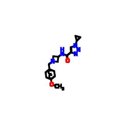 COC12CCC(CN3CC(NC(=O)c4cn(C5CC5)nn4)C3)(CC1)CC2